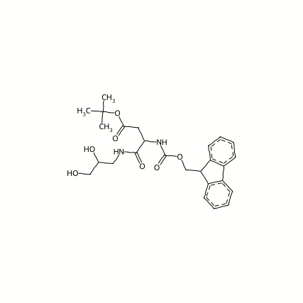 CC(C)(C)OC(=O)CC(NC(=O)OCC1c2ccccc2-c2ccccc21)C(=O)NCC(O)CO